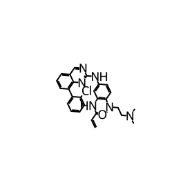 C=CC(=O)Nc1cc(Nc2ncc3cccc(-c4ccccc4Cl)c3n2)ccc1N(C)CCN(C)C